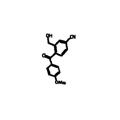 COc1ccc(C(=O)c2ccc(C#N)cc2CO)cc1